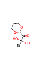 CCC(O)(O)C(=O)C1OCCCO1